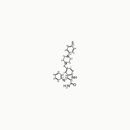 NC(=O)c1[nH]c2ccc(CN3CCN(c4ccc(F)cc4)CC3)cc2c1Sc1ccccc1